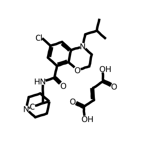 CC(C)CN1CCOc2c(C(=O)NC3CN4CCC3CC4)cc(Cl)cc21.O=C(O)C=CC(=O)O